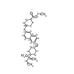 CCOC(=O)C1CCN(Cc2ccc3cc(OC4CCC(C(C)(C)CC)CC4)ccc3c2)CC1